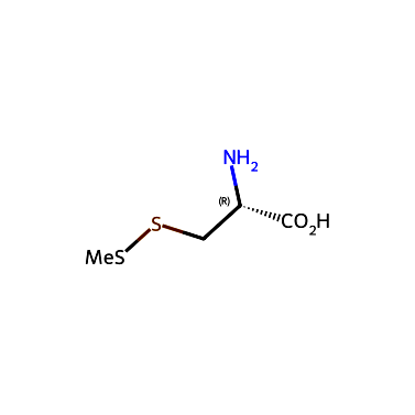 CSSC[C@H](N)C(=O)O